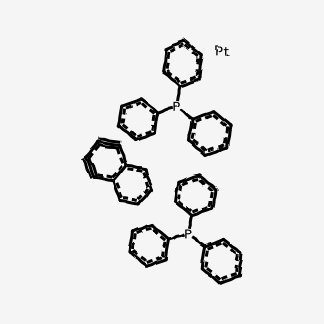 [Pt].c1c#cc2ccccc2c#1.c1ccc(P(c2ccccc2)c2ccccc2)cc1.c1ccc(P(c2ccccc2)c2ccccc2)cc1